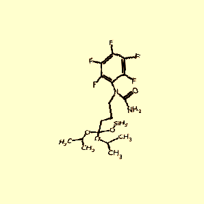 CC(C)OC(CCCN(C(N)=O)c1c(F)c(F)c(F)c(F)c1F)(O[SiH3])OC(C)C